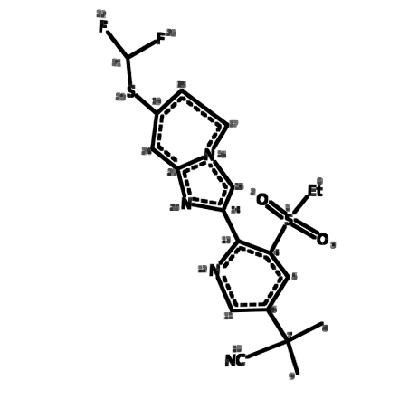 CCS(=O)(=O)c1cc(C(C)(C)C#N)cnc1-c1cn2ccc(SC(F)F)cc2n1